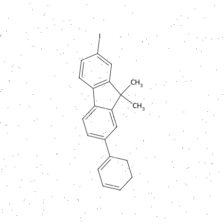 CC1(C)c2cc(I)ccc2-c2ccc(C3=CC=CCC3)cc21